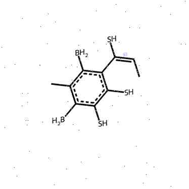 Bc1c(C)c(B)c(/C(S)=C\C)c(S)c1S